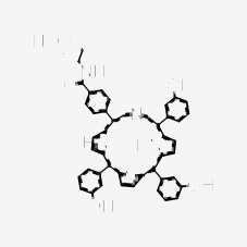 O=C(O)CCNC(=O)c1ccc(-c2cncc(-c3cccc(O)c3)c3ccc([nH]3)c(-c3cccc(O)c3)c3nc(c(-c4cccc(O)c4)c4ccc2[nH]4)C=C3)cc1